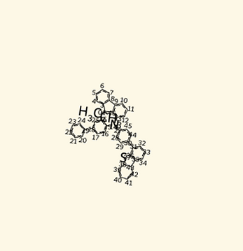 CC1(C)c2ccccc2-c2cccc(N(c3ccc(-c4ccccc4)cc3)c3ccc(-c4cccc5c4SC4C=CC=CC54)cc3)c21